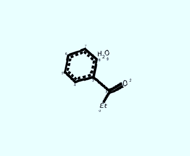 CCC(=O)c1ccccc1.O